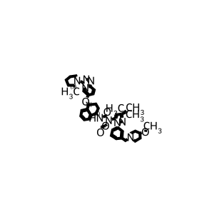 COC1CCN(Cc2cccc(-n3nc(C(C)(C)C)cc3N(OC=O)C(=O)N[C@H]3CC[C@@H](Oc4ccc5nnc(N6CCCC[C@@H]6C)n5c4)c4ccccc43)c2)CC1